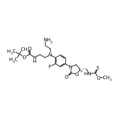 COC(=S)NC[C@H]1CN(c2ccc(N(CCN)CCNC(=O)OC(C)(C)C)c(F)c2)C(=O)O1